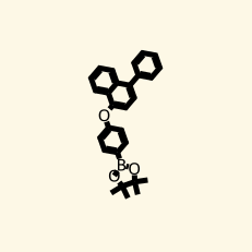 CC1(C)OB(c2ccc(Oc3ccc(-c4ccccc4)c4ccccc34)cc2)OC1(C)C